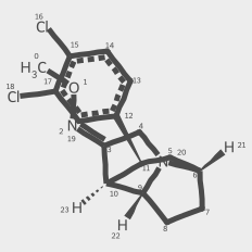 CO/N=C1\CN2[C@H]3CC[C@@H]2[C@@H]1[C@@H](c1ccc(Cl)c(Cl)c1)C3